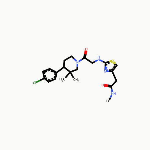 CC(C)NC(=O)Cc1csc(NCC(=O)N2CCC(c3ccc(Cl)cc3)C(C)(C)C2)n1